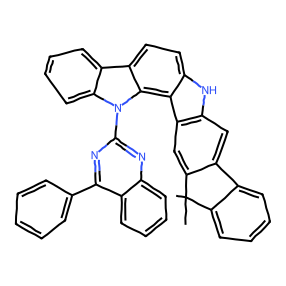 CC1(C)c2ccccc2-c2cc3[nH]c4ccc5c6ccccc6n(-c6nc(-c7ccccc7)c7ccccc7n6)c5c4c3cc21